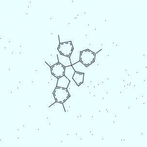 Cc1ccc(C(C2=CC=CC2)(c2ccc(C)cc2)c2c(C)c(C)cc3c2Cc2cc(C)c(C)cc2-3)cc1